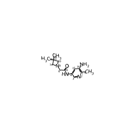 Cc1ncc(NC(=O)CN2CC(C)(C)C2)cc1N